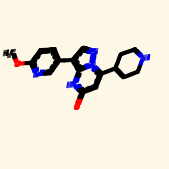 COc1ccc(-c2cnn3c(C4CCNCC4)cc(=O)[nH]c23)cn1